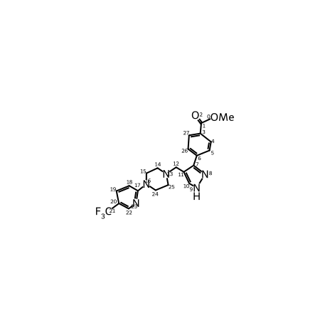 COC(=O)c1ccc(-c2n[nH]cc2CN2CCN(c3ccc(C(F)(F)F)cn3)CC2)cc1